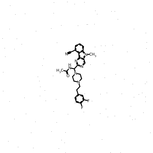 CC(=O)NC(c1ncc2c(n1)c1c(C#N)cccc1n2C)N1CCN(CCc2ccc(F)c(F)c2)CC1